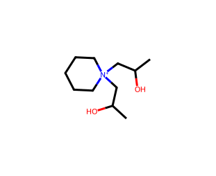 CC(O)C[N+]1(CC(C)O)CCCCC1